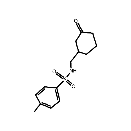 Cc1ccc(S(=O)(=O)NCC2CCCC(=O)C2)cc1